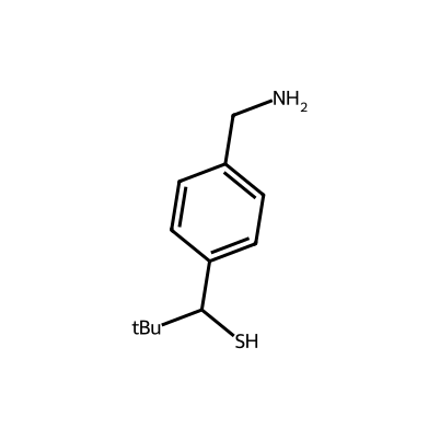 CC(C)(C)C(S)c1ccc(CN)cc1